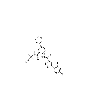 CC(C)(C#N)NC(=O)[C@H]1CN(C2CCCCC2)CC[C@@H]1NC(=O)c1cc(-c2ccc(F)cc2F)on1